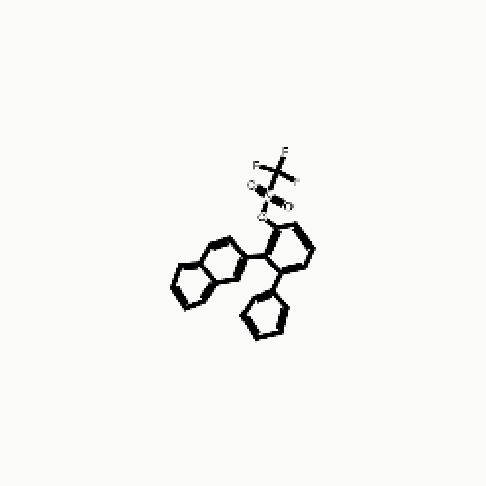 O=S(=O)(Oc1cccc(-c2ccccc2)c1-c1ccc2ccccc2c1)C(F)(F)F